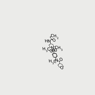 C=CC(=O)NC1CC(C)N(S(=O)(=O)c2ccc(N(C)C(=O)C3CCOCC3)cc2)C(C)C1